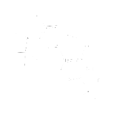 CC1(C)Oc2c(c(Cl)cc(Cl)c2-n2c(=O)cc(C(F)(F)F)[nH]c2=O)C1=O